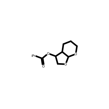 CC(C)C(=O)OC1COC2OCCCC12